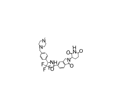 CN1CCN(Cc2ccc([C@@H](NC(=O)c3ccc4c(c3)CN(C3CCC(=O)NC3=O)C4=O)C(F)(F)F)cc2)CC1